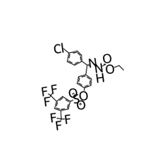 CCOC(=O)NN=C(c1ccc(Cl)cc1)c1ccc(OS(=O)(=O)c2cc(C(F)(F)F)cc(C(F)(F)F)c2)cc1